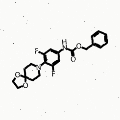 O=C(Nc1cc(F)c(N2CCC3(CC2)OCCO3)c(F)c1)OCc1ccccc1